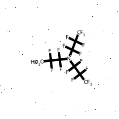 O=C(O)C(F)(F)C(F)(F)N(C(F)(F)C(F)(F)C(F)(F)F)C(F)(F)C(F)(F)C(F)(F)F.[K]